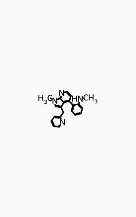 CNc1ccccc1-c1ccnc2c1c(Cc1ccccn1)cn2C